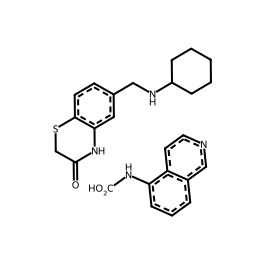 O=C(O)Nc1cccc2cnccc12.O=C1CSc2ccc(CNC3CCCCC3)cc2N1